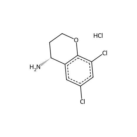 Cl.N[C@@H]1CCOc2c(Cl)cc(Cl)cc21